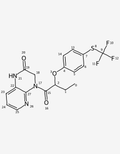 CCC(Oc1ccc(SC(F)(F)F)cc1)C(=O)N1CC(=O)Nc2cccnc21